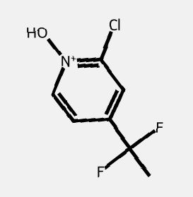 CC(F)(F)c1cc[n+](O)c(Cl)c1